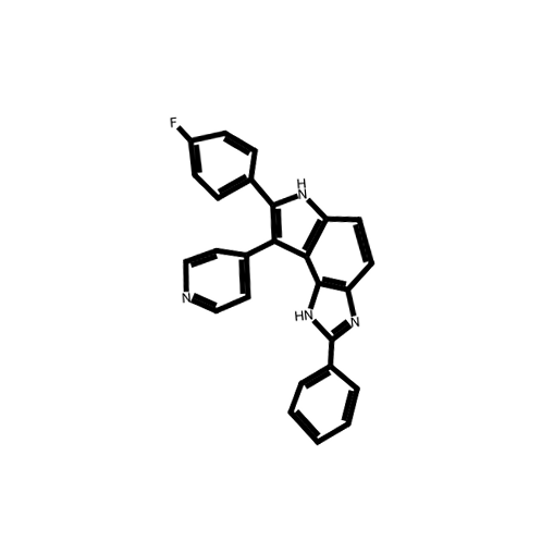 Fc1ccc(-c2[nH]c3ccc4nc(-c5ccccc5)[nH]c4c3c2-c2ccncc2)cc1